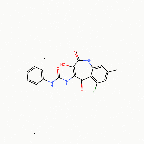 Cc1cc(Cl)c2c(=O)c(NC(=O)Nc3ccccc3)c(O)c(=O)[nH]c2c1